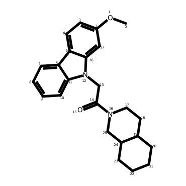 COc1ccc2c3ccccc3n(CC(=O)N3CCC4CCCCC4C3)c2c1